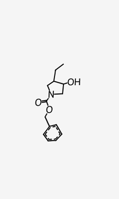 CCC1CN(C(=O)OCc2ccccc2)CC1O